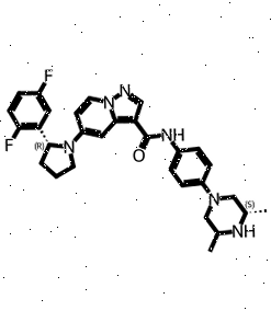 CC1CN(c2ccc(NC(=O)c3cnn4ccc(N5CCC[C@@H]5c5cc(F)ccc5F)cc34)cc2)C[C@H](C)N1